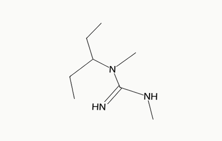 CCC(CC)N(C)C(=N)NC